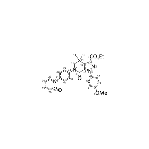 CCOC(=O)c1nn(-c2ccc(OC)cc2)c2c1C1(CC1)CN(c1ccc(-n3ccccc3=O)cc1)C2=O